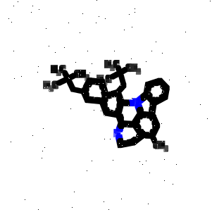 Cc1cc2c3ccccc3n3c4c(CC(C)(C)C)c5ccc(CC(C)(C)C)cc5cc4c4nccc1c4c23